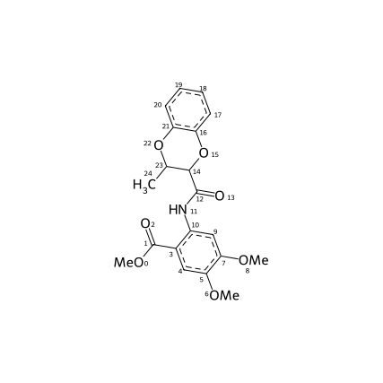 COC(=O)c1cc(OC)c(OC)cc1NC(=O)C1Oc2ccccc2OC1C